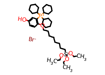 CCO[Si](CCCCCCCCOc1ccc(O)cc1[P+](C1CCCCC1)(C1CCCCC1)C1CCCCC1)(OCC)OCC.[Br-]